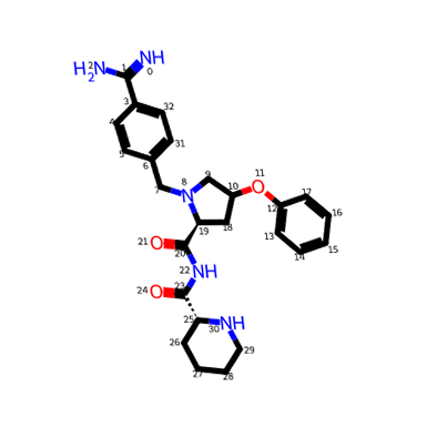 N=C(N)c1ccc(CN2CC(Oc3ccccc3)C[C@H]2C(=O)NC(=O)[C@H]2CCCCN2)cc1